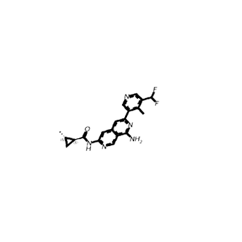 Cc1c(-c2cc3cc(NC(=O)[C@H]4C[C@@H]4C)ncc3c(N)n2)cncc1C(F)F